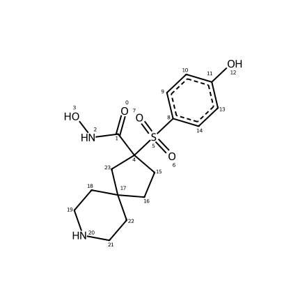 O=C(NO)C1(S(=O)(=O)c2ccc(O)cc2)CCC2(CCNCC2)C1